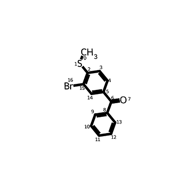 CSc1ccc(C(=O)c2ccccc2)cc1Br